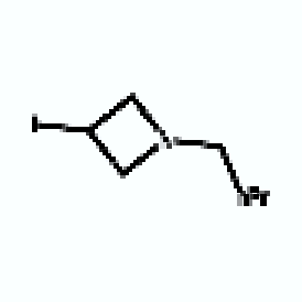 CCCCN1CC(I)C1